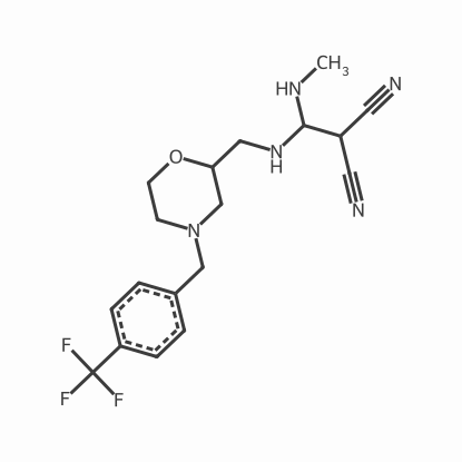 CNC(NCC1CN(Cc2ccc(C(F)(F)F)cc2)CCO1)C(C#N)C#N